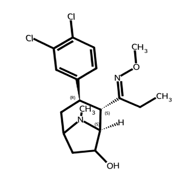 CCC(=NOC)[C@@H]1[C@H]2C(O)CC(C[C@H]1c1ccc(Cl)c(Cl)c1)N2C